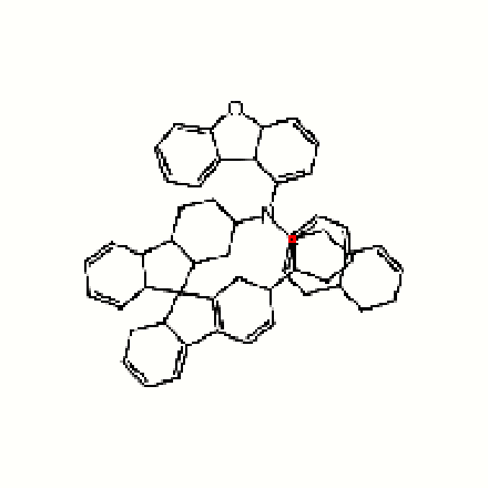 C1=CCC(C2C=CC3=C(C2)C2(C4CC=CC=C34)C3C=CC=CC3C3CCC(N(C4=CCC5CCC=CC5C4)C4=CC=CC5Oc6ccccc6C45)CC32)C=C1